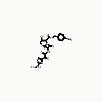 O=CNc1nc(C(=O)C(=O)NC2C(=O)N3C(C(=O)OCc4ccc([N+](=O)[O-])cc4)=C(O)CS[C@@H]23)cs1